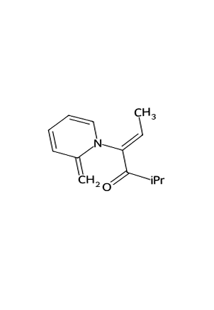 C=C1C=CC=CN1/C(=C\C)C(=O)C(C)C